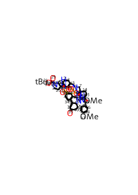 COc1ccc(CN(Cc2ccc(OC)cc2)S(=O)(=O)c2c(S(=O)(=O)N[C@@H]3CCN(C(=O)OC(C)(C)C)C3)ccc(C3=CC(=O)CCC3)c2-c2nnn(Cc3ccc(OC)cc3)n2)cc1